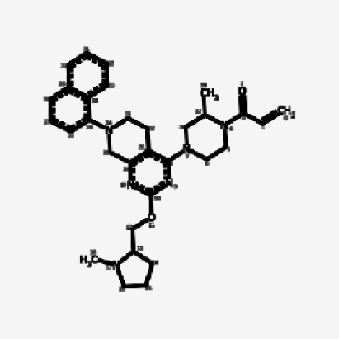 C=CC(=O)N1CCN(c2nc(OCC3CCCN3C)nc3c2CCN(c2cccc4ccccc24)C3)CC1C